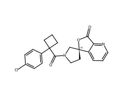 O=C1O[C@]2(CCN(C(=O)C3(c4ccc(Cl)cc4)CCC3)C2)c2cccnc21